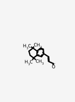 CC1(C)CCC(C)(C)c2cc(C=C[C]=O)ccc21